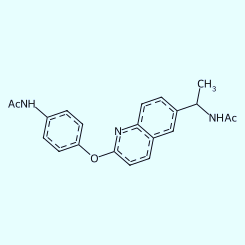 CC(=O)Nc1ccc(Oc2ccc3cc(C(C)NC(C)=O)ccc3n2)cc1